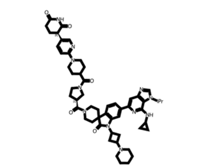 CC(C)n1cnc2cc(-c3ccc4c(c3)N(C3CC(N5CCCCC5)C3)C(=O)C43CCN(C(=O)[C@H]4CCN(C(=O)C5CCN(c6ccc([C@H]7CCC(=O)NC7=O)cn6)CC5)C4)CC3)nc(NC3CC3)c21